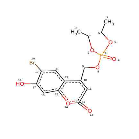 CCOP(=O)(OCC)OCc1cc(=O)oc2cc(O)c(Br)cc12